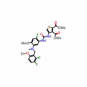 CCOc1ccc(F)c(F)c1CN(C)c1cc(NC(=O)Nc2csc(C(=O)OC)c2C(=O)OC)c(F)cc1OC